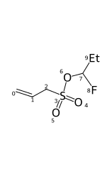 C=CCS(=O)(=O)OC(F)CC